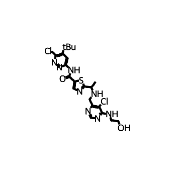 CC(NCc1ncnc(NCCO)c1Cl)c1ncc(C(=O)Nc2cc(C(C)(C)C)c(Cl)nn2)s1